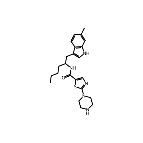 CCCCC(Cc1c[nH]c2cc(C)ccc12)NC(=O)c1cnc(N2CCNCC2)s1